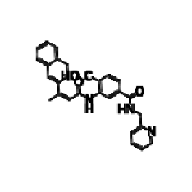 C/C(=C/C(=O)Nc1cc(C(=O)NCc2ccccn2)ccc1C(=O)O)c1ccc2ccccc2c1